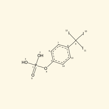 O=P(O)(O)Oc1ccc(C(I)(I)I)cc1